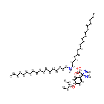 CCCCCCCCCCCCCCCCCCN(C)CCCCCCCCCCCCCCCCCC.C[CH2][Al]([CH2]C)[O]c1ccc(C2(C(=O)O)N=CC=N2)cc1